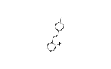 Cc1ccc(/C=C/c2ccccc2F)cc1